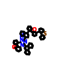 c1ccc2c(c1)cc(C1=NC(c3ccc(-c4cccc5oc6c(-c7cccc8sc9ccccc9c78)cccc6c45)c4ccccc34)NC(c3cccc4oc5ccccc5c34)=N1)c1ccccc12